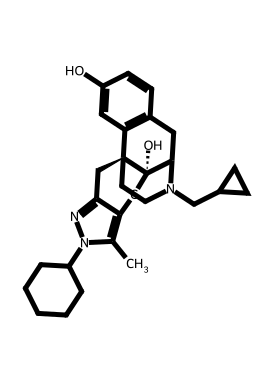 Cc1c2c(nn1C1CCCCC1)C[C@@]13CCN(CC4CC4)C(Cc4ccc(O)cc41)[C@@]3(O)C2